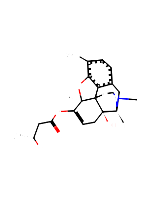 COc1ccc2c3c1O[C@@H]1C(OC(=O)C[C@H](O)C(=O)O)=CC[C@@]4(O)[C@@H](C2)N(C)CCC314